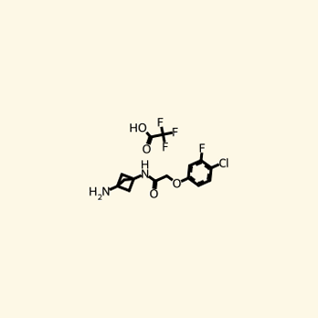 NC12CC(NC(=O)COc3ccc(Cl)c(F)c3)(C1)C2.O=C(O)C(F)(F)F